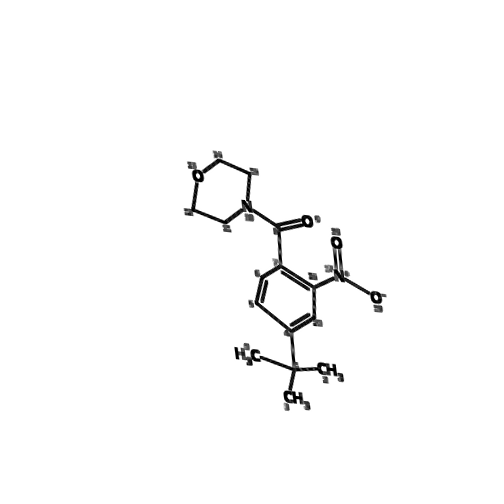 CC(C)(C)c1ccc(C(=O)N2CCOCC2)c([N+](=O)[O-])c1